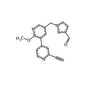 COc1ncc(Cn2ccc(C=O)n2)cc1-c1ccnc(C#N)c1